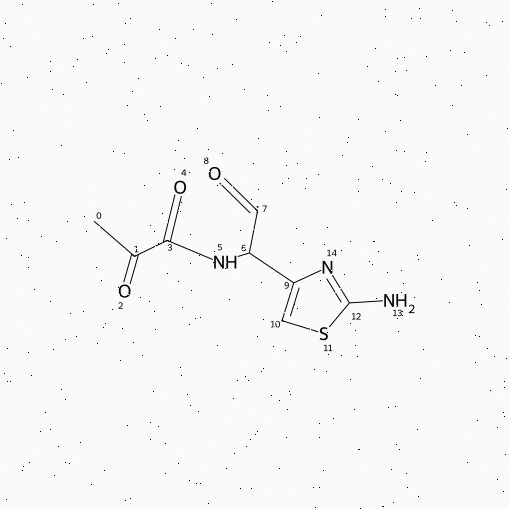 CC(=O)C(=O)NC([C]=O)c1csc(N)n1